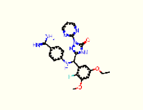 CCOc1cc(OC)c(F)c(C(Nc2ccc(C(=N)N)cc2)c2nn(-c3ncccn3)c(=O)[nH]2)c1